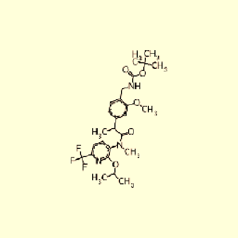 COc1cc(C(C)C(=O)N(C)c2ccc(C(F)(F)F)nc2OC(C)C)ccc1CNC(=O)OC(C)(C)C